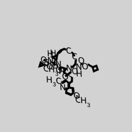 COc1ccc2nc(C)c3c(c2c1)CC[C@]1(C[C@H]2C(=O)N[C@]4(C(=O)NS(=O)(=O)C5(C)CC5)C[C@H]4/C=C\CCCCC[C@H](NC(=O)OCC4CCC4)C(=O)N2C1)O3